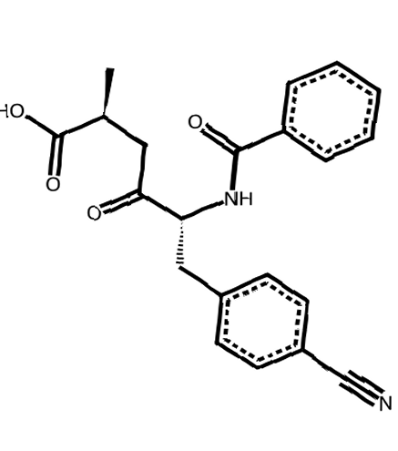 C[C@@H](CC(=O)[C@@H](Cc1ccc(C#N)cc1)NC(=O)c1ccccc1)C(=O)O